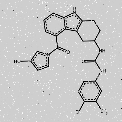 O=C(Nc1ccc(Cl)c(C(F)(F)F)c1)NC1CCc2[nH]c3cccc(C(=O)n4ccc(O)c4)c3c2C1